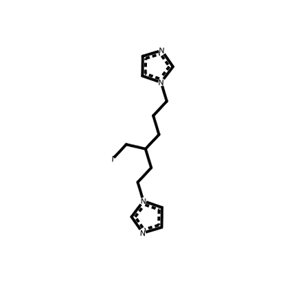 ICC(CCCn1ccnc1)CCn1ccnc1